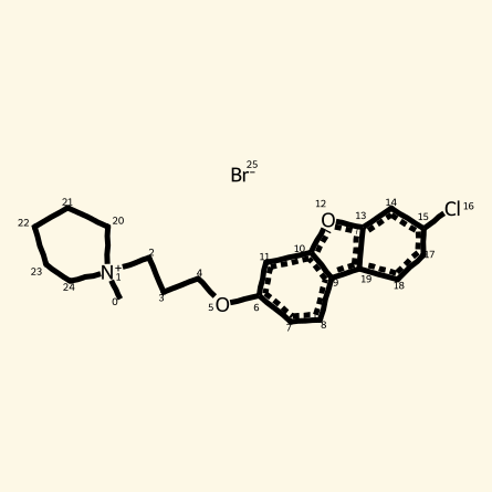 C[N+]1(CCCOc2ccc3c(c2)oc2cc(Cl)ccc23)CCCCC1.[Br-]